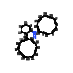 C1=C\C=C/C=C\C(NC2CCCCC2C2=C/C=C\C=C/C=C\C=C/C=C\2)=C/C=C\C=C/1